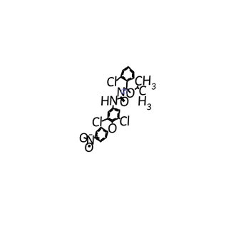 CC(C)O/C(=N\C(=O)Nc1cc(Cl)c(Oc2ccc([N+](=O)[O-])cc2)c(Cl)c1)c1ccccc1Cl